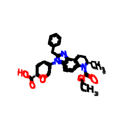 COC(=O)N1c2ccc3c(nc(Cc4ccccc4)n3[C@@H]3CC[C@@H](C(=O)O)OC3)c2CC[C@@H]1C